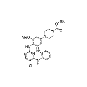 COc1cc(N2CCN(C(=O)OC(C)(C)C)CC2)ccc1Nc1ncc(Cl)c(Nc2ccccc2N)n1